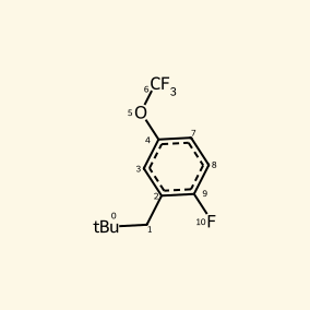 CC(C)(C)Cc1cc(OC(F)(F)F)ccc1F